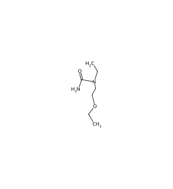 [CH2]CN(CCOCC)C(N)=O